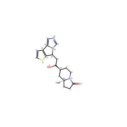 O=C1CC[C@H]2C[C@@H](C(O)CC3c4sccc4-c4cncn43)CCN12